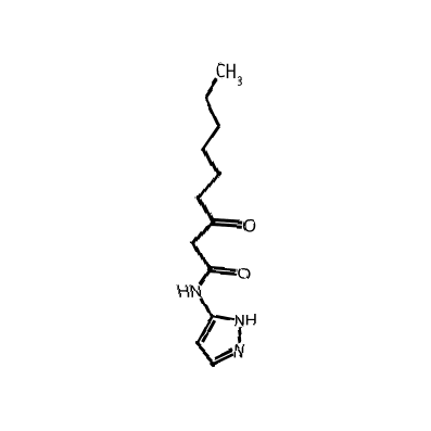 CCCCCCC(=O)CC(=O)Nc1ccn[nH]1